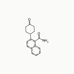 NC(=O)c1c(C2CCC(=O)CC2)ccc2ccccc12